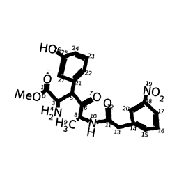 COC(=O)C(N)C(C(=O)[C@H](C)NC(=O)Cc1cccc([N+](=O)[O-])c1)c1cccc(O)c1